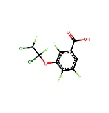 O=C(O)c1cc(F)c(F)c(OC(F)(Cl)C(F)Cl)c1F